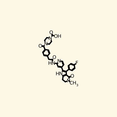 CN1CCc2[nH]c(-c3ccnc(NC(=O)Cc4ccc(C(=O)N5CCN(C(=O)O)CC5)cc4)c3)c(-c3ccc(F)cc3)c2C1=O